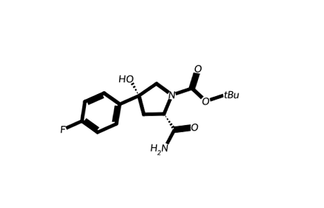 CC(C)(C)OC(=O)N1C[C@](O)(c2ccc(F)cc2)C[C@H]1C(N)=O